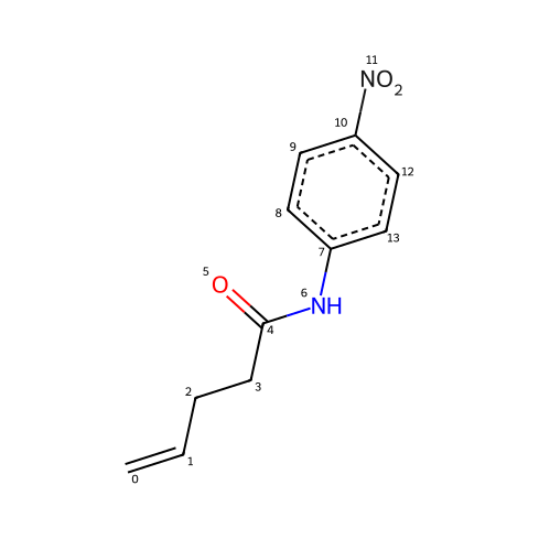 C=CCCC(=O)Nc1ccc([N+](=O)[O-])cc1